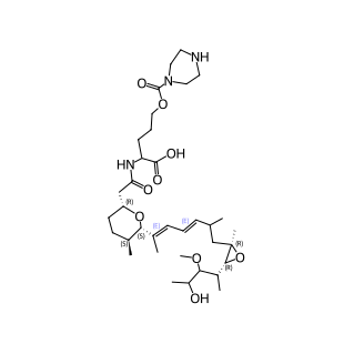 COC(C(C)O)C(C)[C@H]1O[C@]1(C)CC(C)/C=C/C=C(\C)[C@H]1O[C@@H](CC(=O)NC(CCCOC(=O)N2CCNCC2)C(=O)O)CC[C@@H]1C